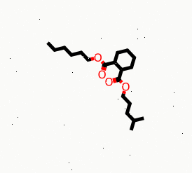 CCCCCCOC(=O)C1CCCCC1C(=O)OCCCC(C)C